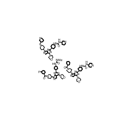 CNC(=O)Nc1ccc(-c2nc(N3CCOCC3)c3cnn(C4CCN(C(=O)c5cccc(F)c5)CC4)c3n2)cc1.O=C(Nc1ccc(-c2nc(N3CCOCC3)c3cnn(C4CCN(Cc5cccnc5)CC4)c3n2)cc1)Nc1cccnc1.O=C(Nc1ccncc1)Nc1ccc(-c2nc(N3CCOCC3)c3cnn(C4CCN(C(=O)c5ccccc5)CC4)c3n2)cc1